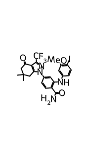 COc1cc(Nc2cc(-n3nc(C(F)(F)F)c4c3CC(C)(C)CC4=O)ccc2C(N)=O)ccc1I